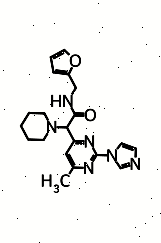 Cc1cc(C(C(=O)NCc2ccco2)N2CCCCC2)nc(-n2ccnc2)n1